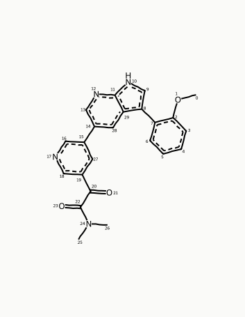 COc1ccccc1-c1c[nH]c2ncc(-c3cncc(C(=O)C(=O)N(C)C)c3)cc12